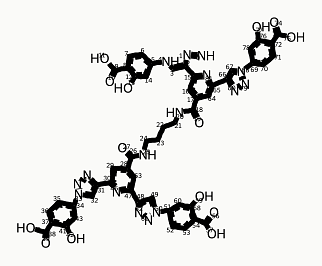 N=N/C(=C\Nc1ccc(C(=O)O)c(O)c1)c1cc(C(=O)NCCCCNC(=O)c2cc(-c3cn(-c4ccc(C(=O)O)c(O)c4)nn3)nc(-c3cn(-c4ccc(C(=O)O)c(O)c4)nn3)c2)cc(-c2cn(-c3ccc(C(=O)O)c(O)c3)nn2)n1